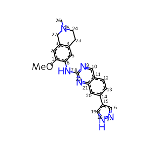 COc1cc2c(cc1Nc1ncc3ccc(-c4cn[nH]c4)cc3n1)CCN(C)C2